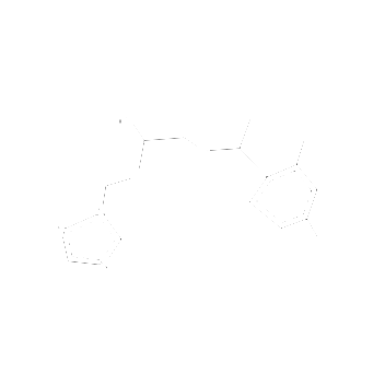 CCCC(COC(C)c1ccc(Cl)cc1Cl)OCn1cncn1